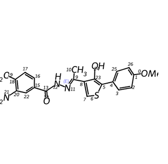 COc1ccc(-c2scc(/C(C)=N/NC(=O)c3ccc(C(=O)O)c([N+](=O)[O-])c3)c2O)cc1